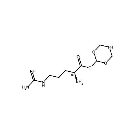 N=C(N)NCCC[C@H](N)C(=O)OC1OCPCO1